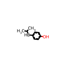 CC(C)Bc1ccc(O)cc1